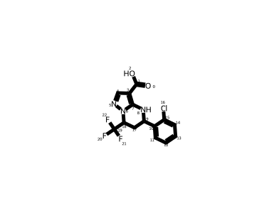 O=C(O)c1cnn2c1NC(c1ccccc1Cl)CC2C(F)(F)F